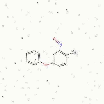 Cc1ccc(Oc2ccccc2)cc1N=O